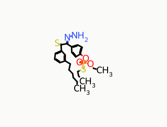 CCCCCCc1cccc(C(=S)/C(=N/N)c2ccc(OP(=O)(OCC)SCCC)cc2)c1